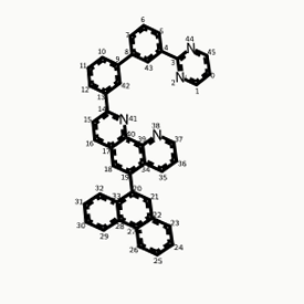 c1cnc(-c2cccc(-c3cccc(-c4ccc5cc(-c6cc7ccccc7c7ccccc67)c6cccnc6c5n4)c3)c2)nc1